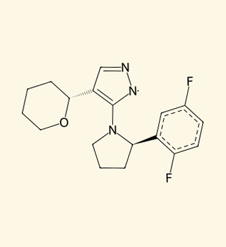 Fc1ccc(F)c([C@H]2CCCN2C2=C([C@H]3CCCCO3)C=N[N]2)c1